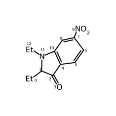 CCC1C(=O)c2ccc([N+](=O)[O-])cc2N1CC